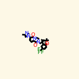 Cc1cn(-c2ccc3n(c2=O)CCN(CC24C[C@H]2C(C)(C)Oc2ccc(C(F)(F)F)cc24)C3=O)cn1